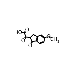 COc1ccc2c(c1)CC(C(=O)C(=O)O)C2=O